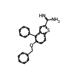 N=C(N)c1cc2c(-c3ccccc3)c(OCc3ccccc3)ccc2s1